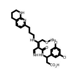 CC(C)(C)OC/C(NCCCc1ccc2c(n1)NCCC2)=C(/C=N)C(=O)NC(CC(=O)O)c1cc(Cl)cc(Cl)c1